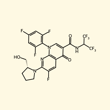 O=C(NC(C(F)(F)F)C(F)(F)F)c1cn(-c2c(F)cc(F)cc2F)c2nc(N3CCC[C@@H]3CO)c(F)cc2c1=O